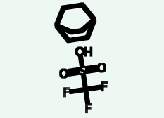 C1CC2CCC1CC2.O=S(=O)(O)C(F)(F)F